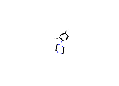 O=[N+]([O-])c1cc(C(F)(F)F)ccc1N1CCNCC1